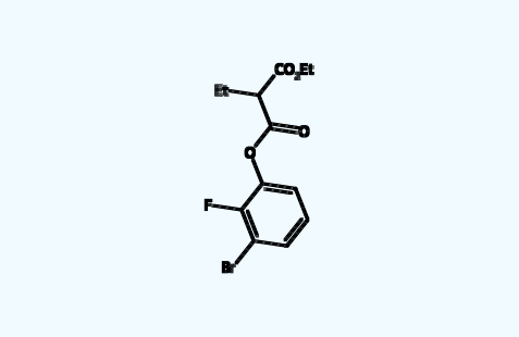 CCOC(=O)C(CC)C(=O)Oc1cccc(Br)c1F